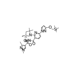 Cc1nn(C)cc1S(=O)(=O)NC(=O)c1ccc(-n2ccc(OC[Si](C)(C)C)n2)nc1N1C[C@@H](C)CC1(C)C